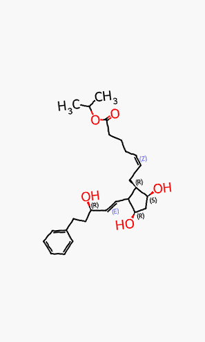 CC(C)OC(=O)CCC/C=C\C[C@@H]1C(/C=C/[C@H](O)CCc2ccccc2)[C@H](O)C[C@@H]1O